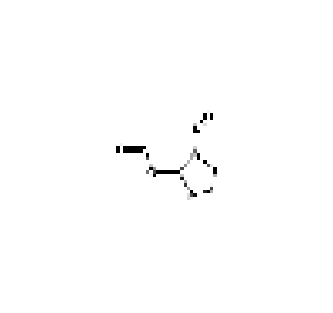 O=COC1SCCN1N=O